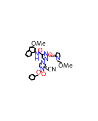 COCCN1CCC[C@H]1COc1nc(C(=O)Nc2cc(OC)cc3ccccc23)cc(N2CCN(C(=O)OCc3ccccc3)[C@@H](CC#N)C2)n1